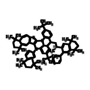 C[C@H](CC1c2ccc(C(C)(C)C)cc2B2c3sc4c(c3N(c3ccc5c(c3)C(C)(C)CCC5(C)C)C3=CC(C(C)(C)C)=CC1C23)C=C1C(C=C4)C(C)(C)CCC1(C)C)c1cc2c(cc1-c1ccccc1)C(C)(C)CCC2(C)C